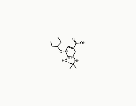 CCC(CC)O[C@@H]1C=C(C(=O)O)C[C@@H](NC(C)(C)C)[C@@H]1O